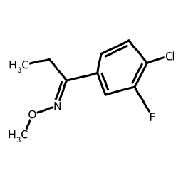 CCC(=NOC)c1ccc(Cl)c(F)c1